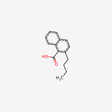 [CH2]CCCc1ccc2ccccc2c1C(=O)O